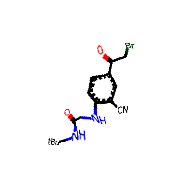 CC(C)(C)NC(=O)Nc1ccc(C(=O)CBr)cc1C#N